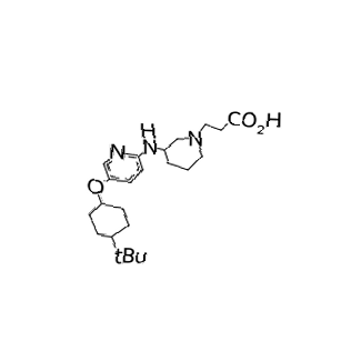 CC(C)(C)C1CCC(Oc2ccc(NC3CCCN(CCC(=O)O)C3)nc2)CC1